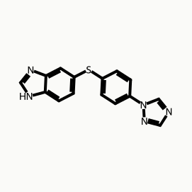 c1ncn(-c2ccc(Sc3ccc4[nH]cnc4c3)cc2)n1